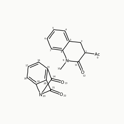 CC(=O)C1Cc2ccccc2N(C)C1=O.O=C1c2cccc3c2C(=O)N13